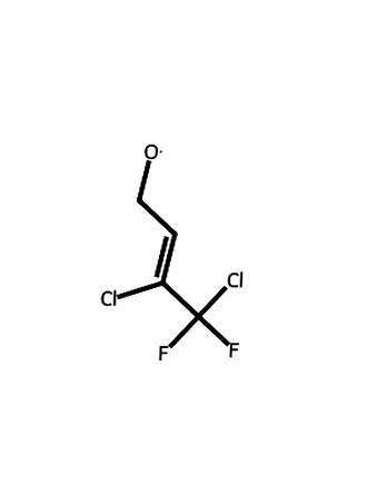 [O]CC=C(Cl)C(F)(F)Cl